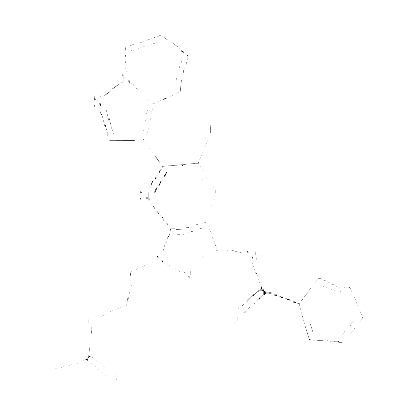 CC(=O)OCCn1nc(NC(=O)c2ccccc2)c2cc(F)c(-c3cnn4ccccc34)nc21